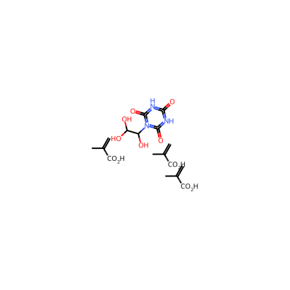 C=C(C)C(=O)O.C=C(C)C(=O)O.C=C(C)C(=O)O.O=c1[nH]c(=O)n(C(O)C(O)O)c(=O)[nH]1